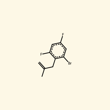 C=C(C)Cc1c(F)cc(F)cc1Br